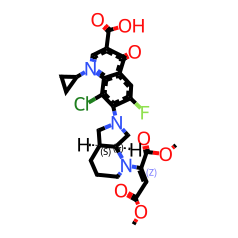 COC(=O)/C=C(/C(=O)OC)N1CCC[C@H]2CN(c3c(F)cc4c(=O)c(C(=O)O)cn(C5CC5)c4c3Cl)C[C@H]21